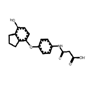 O=C(O)CC(=O)Nc1ccc(Oc2ccc(O)c3c2CCC3)cc1